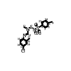 Cc1ccc(S(=O)(=O)N(SN(C)/C=N/c2ccc(Cl)cc2C)C(C)(C)C)cc1